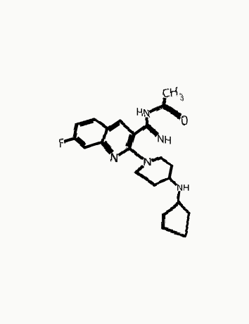 CC(=O)NC(=N)c1cc2ccc(F)cc2nc1N1CCC(NC2CCCC2)CC1